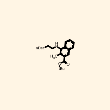 CCCCCCCCCCCCNc1c(C)c(C(=O)OC(C)(C)C)cc2ccccc12